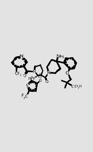 CCC[C@H]1N(C(=O)c2cnccc2C(F)(F)F)CCC[C@@]1(Oc1csc(C(F)(F)F)c1)C(=O)N1CCC(N)(c2ccccc2OCC(C)(C)C(=O)O)CC1